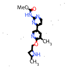 COC(=O)Nc1nccc(-c2cnc(OCC3CC(C)N3)c(C)c2)n1